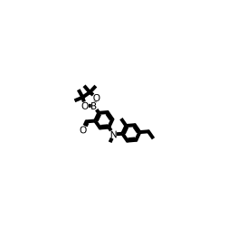 CCc1ccc(N(C)c2ccc(B3OC(C)(C)C(C)(C)O3)c(C=O)c2)c(C)c1